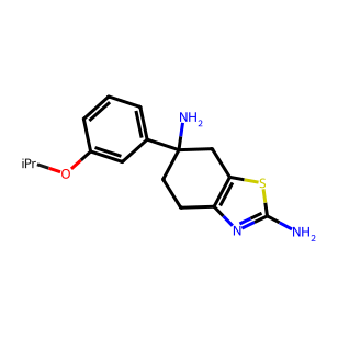 CC(C)Oc1cccc(C2(N)CCc3nc(N)sc3C2)c1